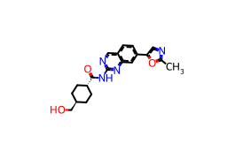 Cc1ncc(-c2ccc3cnc(NC(=O)[C@H]4CC[C@H](CO)CC4)nc3c2)o1